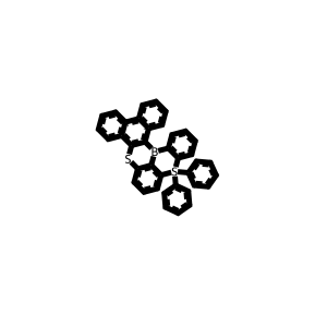 c1ccc(S2(c3ccccc3)c3ccccc3B3c4c(cccc42)Sc2c3c3ccccc3c3ccccc23)cc1